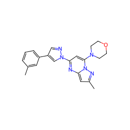 Cc1cccc(-c2cnn(-c3cc(N4CCOCC4)n4nc(C)cc4n3)c2)c1